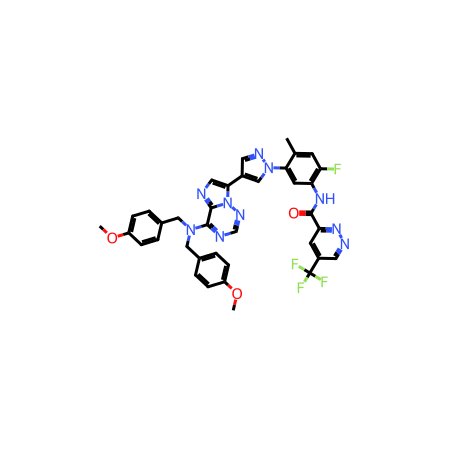 COc1ccc(CN(Cc2ccc(OC)cc2)c2ncnn3c(-c4cnn(-c5cc(NC(=O)c6cc(C(F)(F)F)cnn6)c(F)cc5C)c4)cnc23)cc1